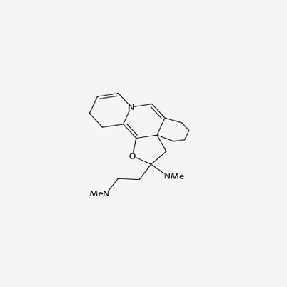 CNCCC1(NC)CC23CCCCC2=CN2C=CCCC2=C3O1